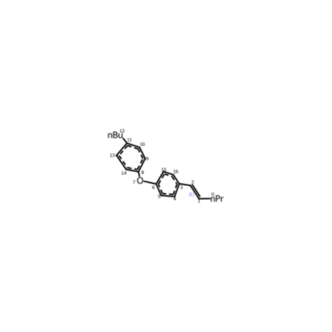 CCC/C=C/c1ccc(Oc2ccc(CCCC)cc2)cc1